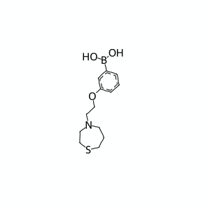 OB(O)c1cccc(OCCN2CCCSCC2)c1